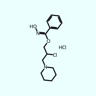 Cl.ON=C(OCC(Cl)CN1CCCCC1)c1ccccc1